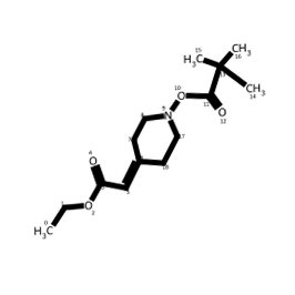 CCOC(=O)C=C1CCN(OC(=O)C(C)(C)C)CC1